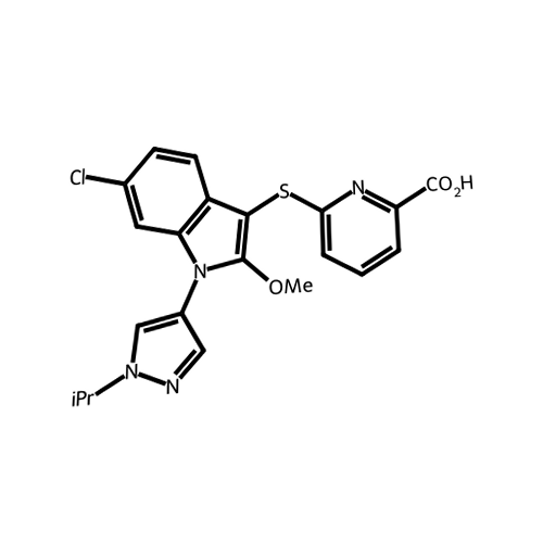 COc1c(Sc2cccc(C(=O)O)n2)c2ccc(Cl)cc2n1-c1cnn(C(C)C)c1